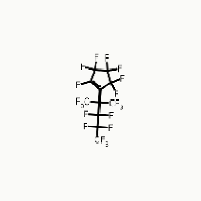 FC1=C(C(C(F)(F)F)(C(F)(F)F)C(F)(F)C(F)(F)C(F)(F)F)C(F)(F)C(F)(F)C1(F)F